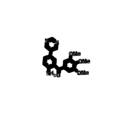 COc1cc(C(=O)c2cc(-c3cncnc3)ccc2N)cc(OC)c1OC